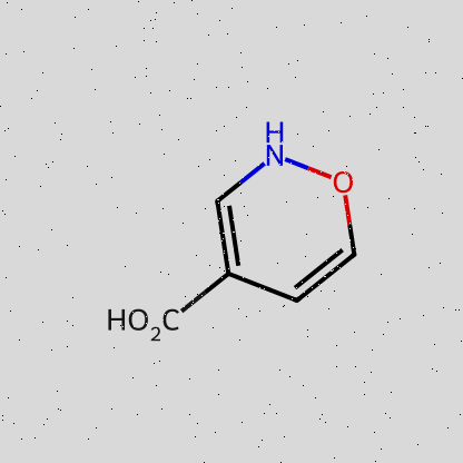 O=C(O)C1=CNOC=C1